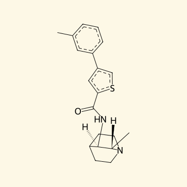 Cc1cccc(-c2csc(C(=O)N[C@@H]3C4CCN(CC4)[C@H]3C)c2)c1